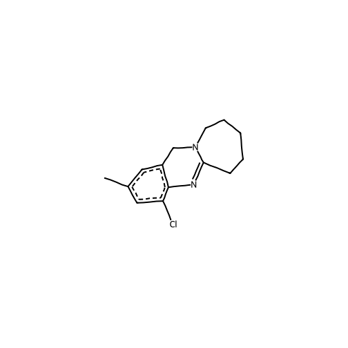 Cc1cc(Cl)c2c(c1)CN1CCCCCC1=N2